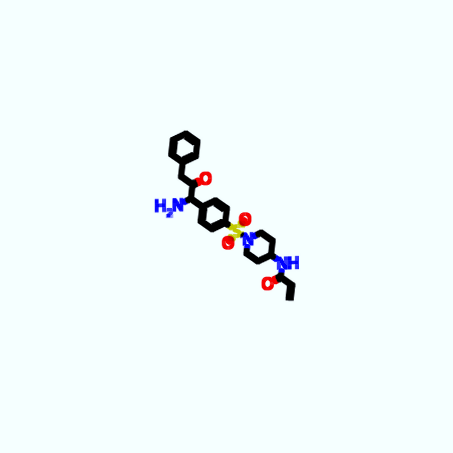 C=CC(=O)NC1CCN(S(=O)(=O)c2ccc(C(N)C(=O)Cc3ccccc3)cc2)CC1